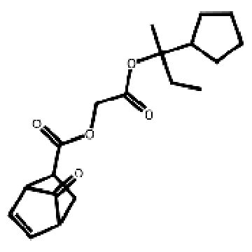 CCC(C)(OC(=O)COC(=O)C1CC2C=CC1C2=O)C1CCCC1